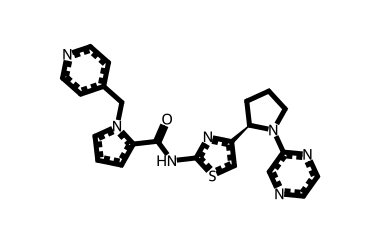 O=C(Nc1nc([C@H]2CCCN2c2cnccn2)cs1)c1cccn1Cc1ccncc1